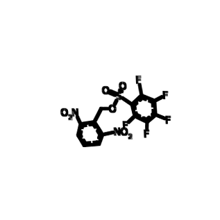 O=[N+]([O-])c1cccc([N+](=O)[O-])c1COS(=O)(=O)c1c(F)c(F)c(F)c(F)c1F